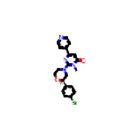 Cn1c(N2CCO[C@H](c3ccc(Br)cc3)C2)nc(-c2ccncc2)cc1=O